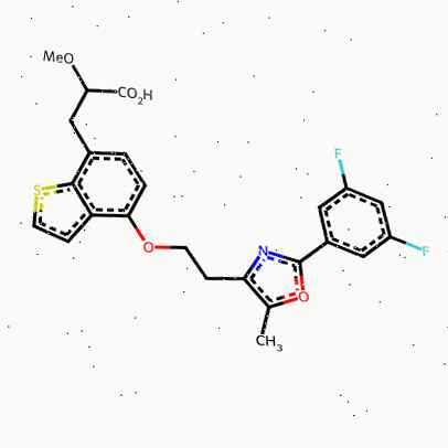 COC(Cc1ccc(OCCc2nc(-c3cc(F)cc(F)c3)oc2C)c2ccsc12)C(=O)O